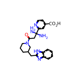 NC(N)(CC(=O)N1CCCC(Cc2nc3ccccc3[nH]2)C1)c1cc(C(=O)O)ccn1